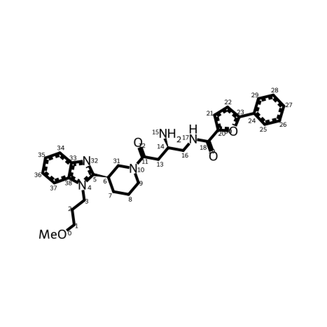 COCCCn1c([C@@H]2CCCN(C(=O)C[C@@H](N)CNC(=O)c3ccc(-c4ccccc4)o3)C2)nc2ccccc21